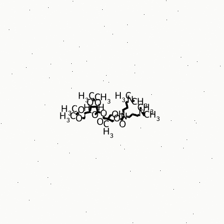 CN(C)CCCN(CCCN(C)C)C(=O)OCC(C)(CO)C(=O)OC1O[C@H]([C@H]2COC(C)(C)O2)[C@@H]2OC(C)(C)O[C@H]12